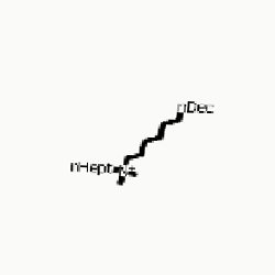 CCCCCCCCCCCCCCCC[N+](C)(C)CCCCCCC